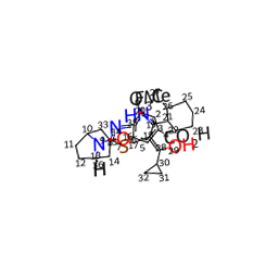 COc1cc(C(=O)O)cc2sc(N3C4CC[C@H]3CC(OC/C(C(=N)C3CCCCC3C(F)(F)F)=C(/O)C3CC3)C4)nc12